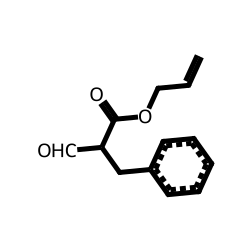 C=CCOC(=O)C(C=O)Cc1ccccc1